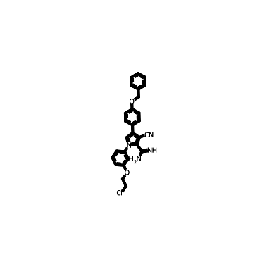 N#Cc1c(-c2ccc(OCc3ccccc3)cc2)cn(-c2cccc(OCCCl)c2)c1C(=N)N